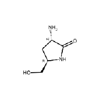 N[C@H]1C[C@H](CO)NC1=O